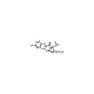 Cc1nc(F)ccc1CN1CCn2nc(C(=O)O)c(C3CC3)c2C1=O